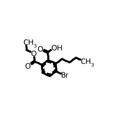 CCCCc1c(Br)ccc(C(=O)OCC)c1C(=O)O